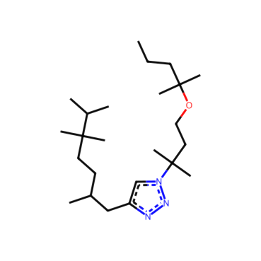 CCCC(C)(C)OCCC(C)(C)n1cc(CC(C)CCC(C)(C)C(C)C)nn1